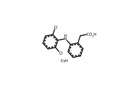 O=C(O)Cc1ccccc1Nc1c(Cl)cccc1Cl.[CsH]